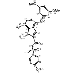 COc1ccc(S(=O)(=O)NC(=O)c2cc3c(Nc4cc(OC)cc(OC)c4)ccc([N+](=O)[O-])c3n2C)cc1